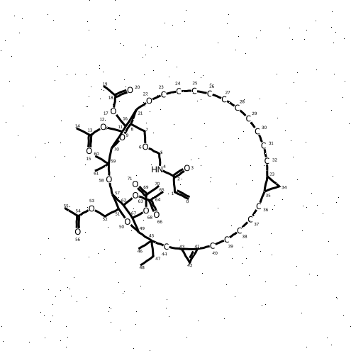 C=CC(=O)NCOCC1OC2C(OC(C)=O)C(OC(C)=O)C1OCCCCCCCCCCC1CC1CCCCCC1=CC1CC(C)(CC)C1OC(COC(C)=O)C(OC2(C)C)C(OC(C)=O)C1OC(C)=O